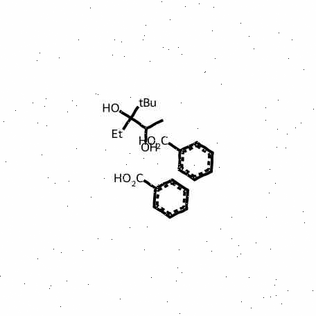 CCC(O)(C(C)O)C(C)(C)C.O=C(O)c1ccccc1.O=C(O)c1ccccc1